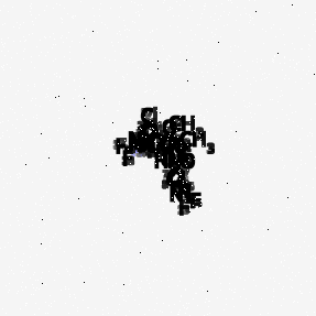 CCC(C(=O)Nc1ccc2nn(C(F)F)cc2c1)n1cc(OC)c(-c2cc(Cl)ccc2N(N)/C=C(\N)C(F)F)cc1=O